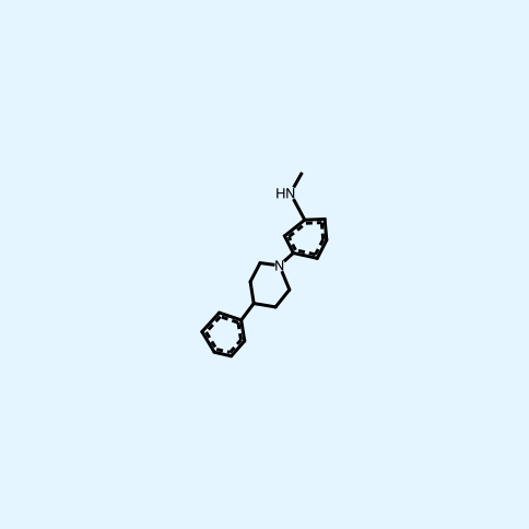 CNc1cccc(N2CCC(c3ccccc3)CC2)c1